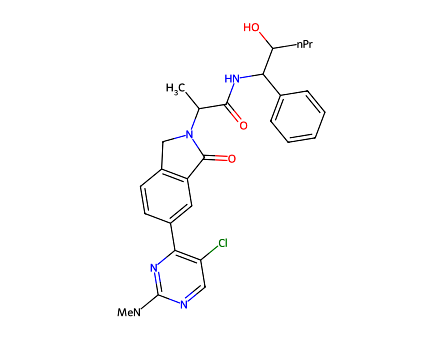 CCCC(O)C(NC(=O)C(C)N1Cc2ccc(-c3nc(NC)ncc3Cl)cc2C1=O)c1ccccc1